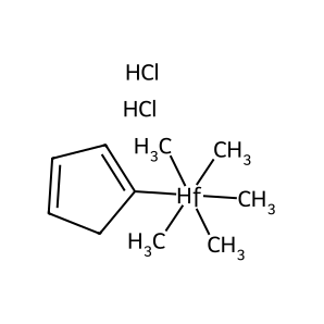 Cl.Cl.[CH3][Hf]([CH3])([CH3])([CH3])([CH3])[C]1=CC=CC1